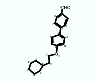 O=Cc1ccc(-c2ccc(OCCC3CCCCC3)cc2)cc1